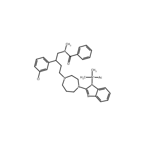 CC(=O)[N+](C)(C)n1c(N2CCCN(CCC(CN(C)C(=O)c3ccccc3)c3cccc(Cl)c3)CC2)nc2ccccc21